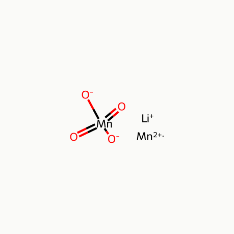 [Li+].[Mn+2].[O]=[Mn](=[O])([O-])[O-]